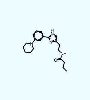 CCCC(=O)NCCc1c[nH]c(-c2cccc(N3CCCCC3)c2)n1